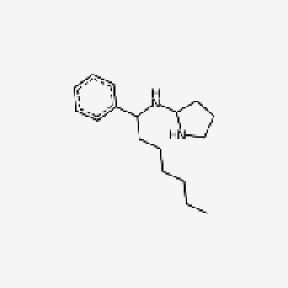 CCCCCCC(NC1CCCN1)c1ccccc1